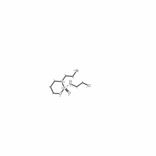 O=[P@@]1(NCCCl)OCCCN1CCBr